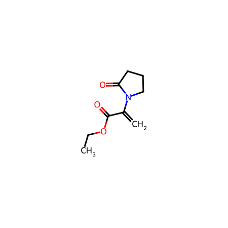 C=C(C(=O)OCC)N1CCCC1=O